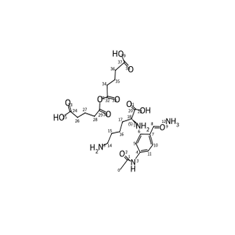 CC(=O)Nc1ccc(C=O)cc1.N.NCCCC[C@H](N)C(=O)O.O=C(O)CCCC(=O)OC(=O)CCCC(=O)O